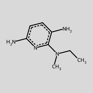 CCN(C)c1nc(N)ccc1N